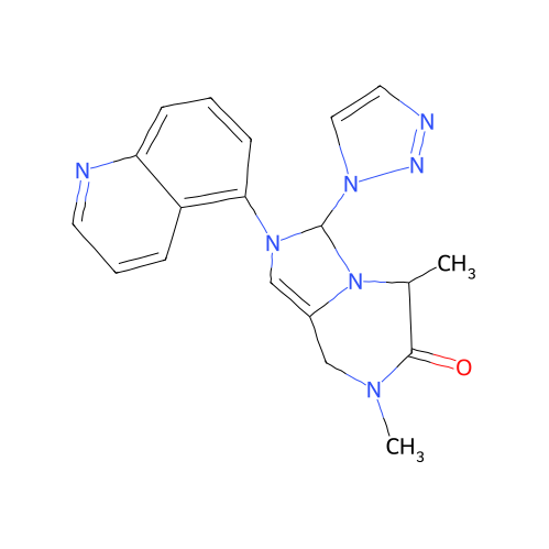 CC1C(=O)N(C)CC2=CN(c3cccc4ncccc34)C(n3ccnn3)N21